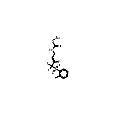 Cc1ccccc1S(=O)(=O)C(F)(F)/C(F)=C/CNC(=O)OC(C)(C)C